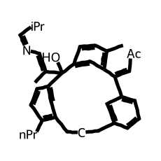 CCCc1ccc2cc1CCCc1cccc(c1)/C(=C/C(C)=O)c1cc(ccc1C)C2(O)/C(C)=C/N=C\C(C)C